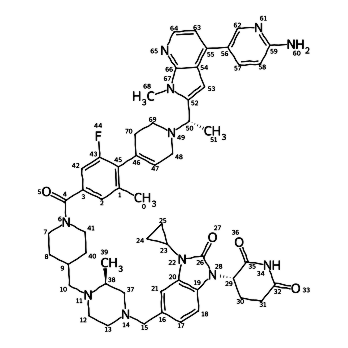 Cc1cc(C(=O)N2CCC(CN3CCN(Cc4ccc5c(c4)n(C4CC4)c(=O)n5[C@H]4CCC(=O)NC4=O)C[C@@H]3C)CC2)cc(F)c1C1=CCN([C@@H](C)c2cc3c(-c4ccc(N)nc4)ccnc3n2C)CC1